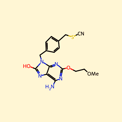 COCCOc1nc(N)c2nc(O)n(Cc3ccc(CSC#N)cc3)c2n1